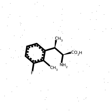 Cc1c(F)cccc1[C@@H](C)[C@H](N)C(=O)O